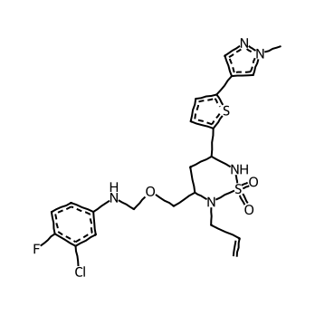 C=CCN1C(COCNc2ccc(F)c(Cl)c2)CC(c2ccc(-c3cnn(C)c3)s2)NS1(=O)=O